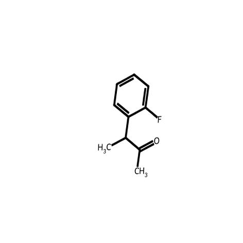 CC(=O)C(C)c1ccccc1F